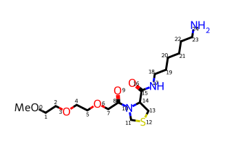 COCCOCCOCC(=O)N1CSCC1C(=O)NCCCCCCN